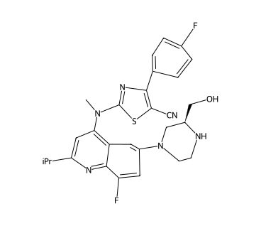 CC(C)c1cc(N(C)c2nc(-c3ccc(F)cc3)c(C#N)s2)c2cc(N3CCN[C@H](CO)C3)cc(F)c2n1